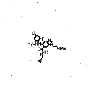 CNCCn1cnc2c(F)c(Nc3ccc(Cl)cc3C)c(C(=O)NOCC3CC3)cc21